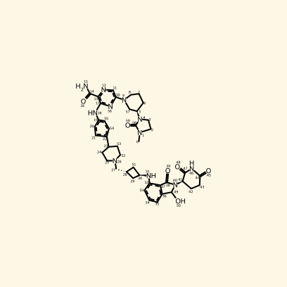 CN1CCN([C@@H]2CCCN(c3cnc(C(N)=O)c(Nc4ccc(C5CCN(C[C@H]6C[C@H](Nc7cccc8c7C(=O)N([C@@H]7CCC(=O)NC7=O)C8O)C6)CC5)cc4)n3)C2)C1=O